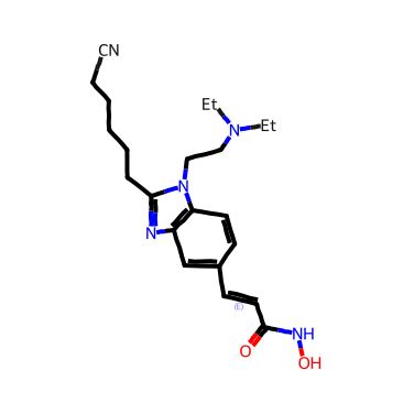 CCN(CC)CCn1c(CCCCCC#N)nc2cc(/C=C/C(=O)NO)ccc21